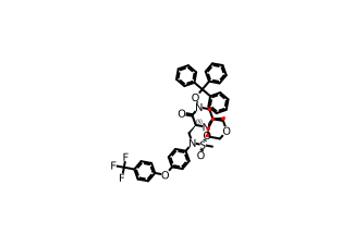 CC(C)CN(OC(c1ccccc1)(c1ccccc1)c1ccccc1)C(=O)[C@H](CN(c1ccc(Oc2ccc(C(F)(F)F)cc2)cc1)S(C)(=O)=O)N1CCOCC1